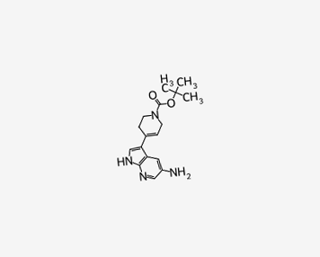 CC(C)(C)OC(=O)N1CC=C(c2c[nH]c3ncc(N)cc23)CC1